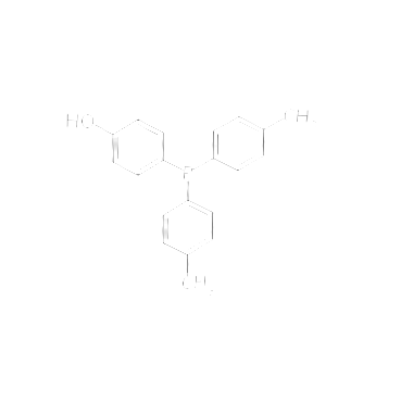 Cc1ccc(P(c2ccc(C)cc2)c2ccc(O)cc2)cc1